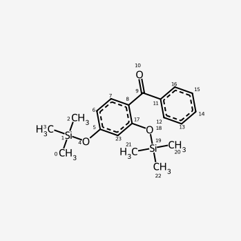 C[Si](C)(C)Oc1ccc(C(=O)c2ccccc2)c(O[Si](C)(C)C)c1